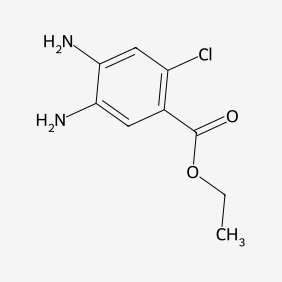 CCOC(=O)c1cc(N)c(N)cc1Cl